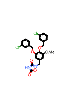 COc1cc(Cn2oc(=O)[nH]c2=O)cc(OCc2cccc(Cl)c2)c1OCc1cccc(Cl)c1